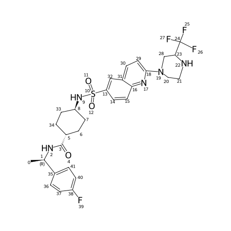 C[C@@H](NC(=O)[C@H]1CC[C@H](NS(=O)(=O)c2ccc3nc(N4CCNC(C(F)(F)F)C4)ccc3c2)CC1)c1ccc(F)cc1